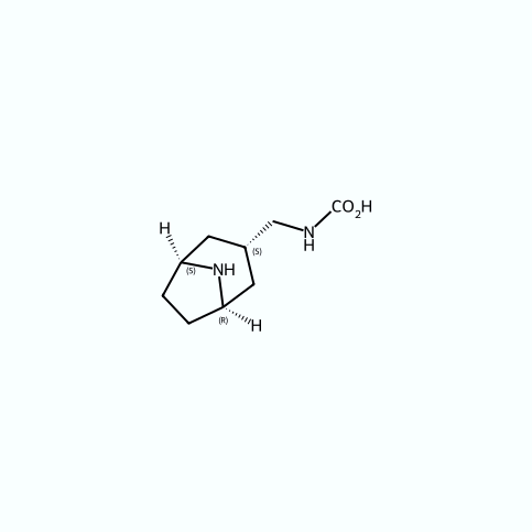 O=C(O)NC[C@@H]1C[C@H]2CC[C@@H](C1)N2